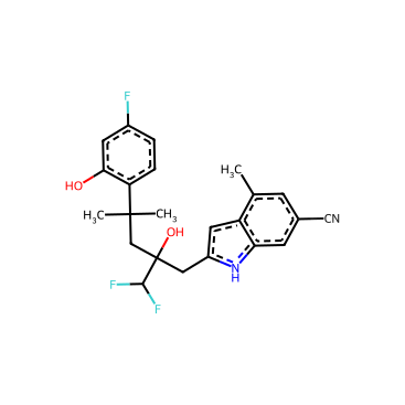 Cc1cc(C#N)cc2[nH]c(CC(O)(CC(C)(C)c3ccc(F)cc3O)C(F)F)cc12